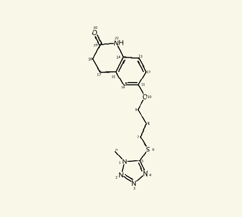 Cn1nnnc1SCCCOc1ccc2c(c1)CCC(=O)N2